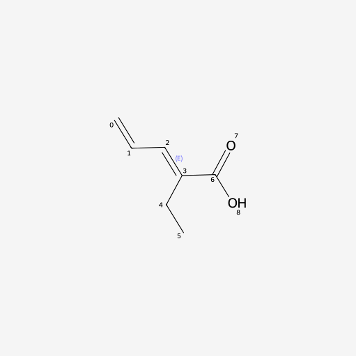 C=C/C=C(\CC)C(=O)O